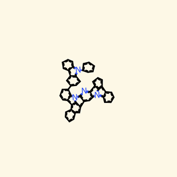 c1ccc(-n2c3ccccc3c3cc(-c4cccc5c6c7ccccc7cc7c8cc9c(nc8n(c45)c76)c4cccc5c6ccccc6n9c54)ccc32)cc1